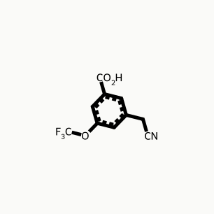 N#CCc1cc(OC(F)(F)F)cc(C(=O)O)c1